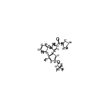 O=C(c1cc(-c2cc(F)cc(OCC(F)(F)F)c2)n(-c2cccnc2)n1)N1CCSC1